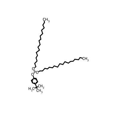 CCCCCCCCCCCCCCCCCCOP(OCCCCCCCCCCCCCCCCCC)Oc1ccc(C(C)(C)C)cc1